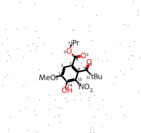 COc1cc(C(=O)OC(C)C)c(C(=O)C(C)(C)C)c([N+](=O)[O-])c1O